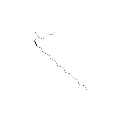 CCCCCCCCCCCCCC/C=C\C(C)CCCC